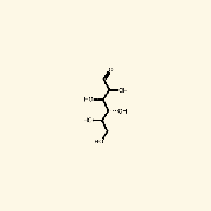 O=CC(O)C(O)[C@H](O)[C@H](O)CO